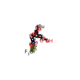 CC1C2CC(C3C(=O)N(OS(=O)(=O)C(F)(F)C(F)(F)C(F)(F)C(F)(F)F)C(=O)C23)C1C1C(=O)OC(=O)C1CC1C2CC(CC2C(=O)OCCO)C1C1C(C)C2CC(C(=O)OC(C)(C)C)C1C2